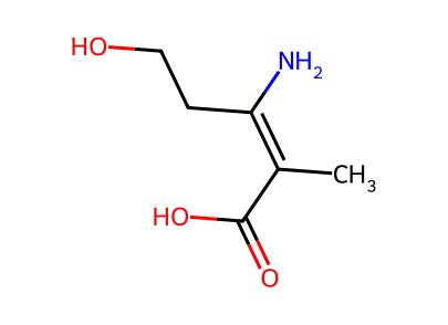 CC(C(=O)O)=C(N)CCO